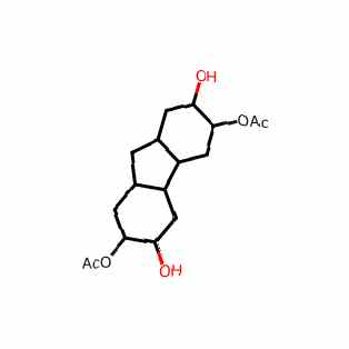 CC(=O)OC1CC2CC3CC(O)C(OC(C)=O)CC3C2CC1O